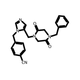 N#Cc1ccc(Cn2cncc2CN2CC(=O)N(Cc3ccccc3)CC2=O)cc1